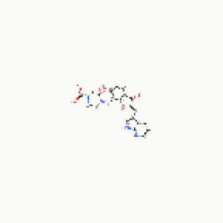 O=C1/C(=C/c2c[nH]c3ncccc23)Oc2c1ccc(O)c2CN1CCN(C(=O)O)CC1